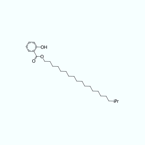 CC(C)CCCCCCCCCCCCCCCCCOC(=O)c1ccccc1O